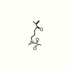 C=C(C)C(=O)CCCN(C)S(C)(=O)=O